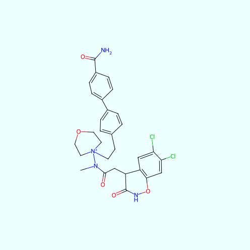 CN(C(=O)CC1C(=O)NOc2cc(Cl)c(Cl)cc21)[N+]1(CCc2ccc(-c3ccc(C(N)=O)cc3)cc2)CCOCC1